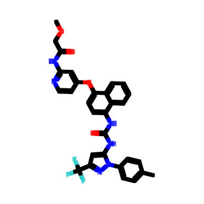 COCC(=O)Nc1cc(Oc2ccc(NC(=O)Nc3cc(C(F)(F)F)nn3-c3ccc(C)cc3)c3ccccc23)ccn1